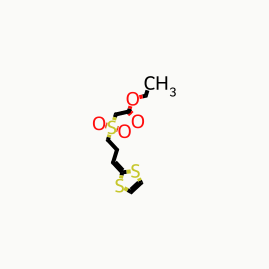 CCOC(=O)CS(=O)(=O)CCC=C1SC=CS1